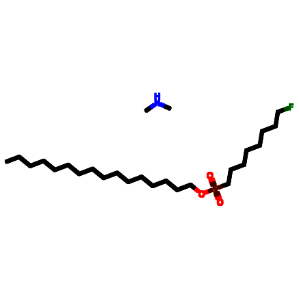 CCCCCCCCCCCCCCCCOS(=O)(=O)CCCCCCCCF.CNC